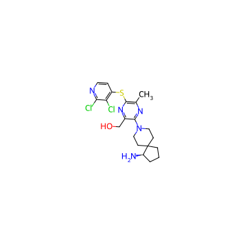 Cc1nc(N2CCC3(CCC[C@H]3N)CC2)c(CO)nc1Sc1ccnc(Cl)c1Cl